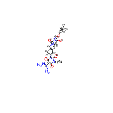 CCCCN1C(=O)C(=C(N)N)C(=O)N(c2ccc(CN3C(=O)N(COCC[Si](C)(C)C)C(=O)C3(C)C)cc2)C1=O